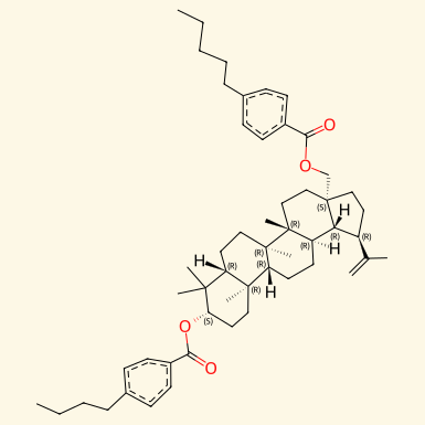 C=C(C)[C@@H]1CC[C@]2(COC(=O)c3ccc(CCCCC)cc3)CC[C@]3(C)[C@H](CC[C@@H]4[C@@]5(C)CC[C@H](OC(=O)c6ccc(CCCC)cc6)C(C)(C)[C@@H]5CC[C@]43C)[C@@H]12